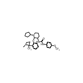 CN1CCC1(c1ccccc1OC1C(NC(=O)Nc2ccc(OC(F)(F)F)cc2)CCCN1C1CCCC1)C(F)(F)F